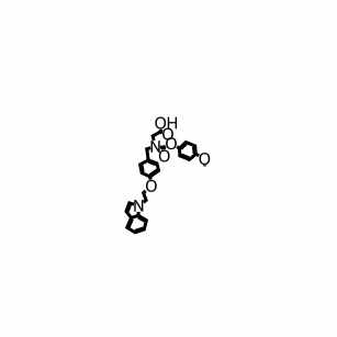 COc1ccc(OC(=O)N(CC(=O)O)Cc2ccc(OCCn3ccc4ccccc43)cc2)cc1